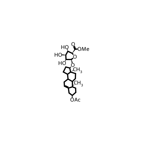 COC(=O)[C@H]1O[C@@H](O[C@@H]2CCC3C4CC=C5C[C@H](OC(C)=O)CC[C@]5(C)C4CC[C@@]32C)[C@H](O)[C@@H](O)[C@@H]1O